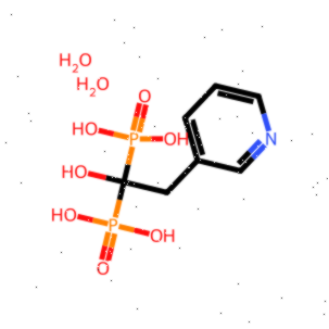 O.O.O=P(O)(O)C(O)(Cc1cccnc1)P(=O)(O)O